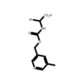 Cc1cncc(COC(=O)NC(C(=O)O)C(C)C)c1